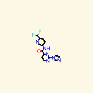 O=C(Nc1ccc(C(F)F)nc1)c1ccnc(-n2ccnc2)n1